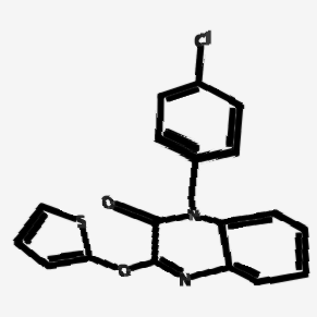 O=c1c(Oc2cccs2)nc2ccccc2n1-c1ccc(Cl)cc1